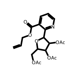 C=CCOC(=O)c1cccnc1C1OC(COC(C)=O)C(OC(C)=O)C1OC(C)=O